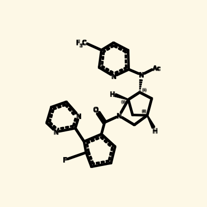 CC(=O)N(c1ccc(C(F)(F)F)cn1)[C@@H]1C[C@H]2C[C@@H]1N(C(=O)c1cccc(F)c1-c1ncccn1)C2